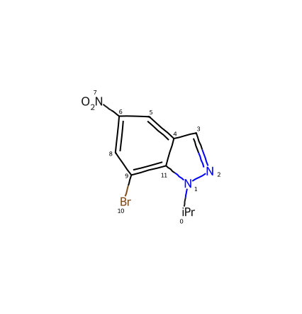 CC(C)n1ncc2cc([N+](=O)[O-])cc(Br)c21